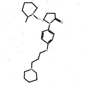 CC1CCCCN1C[C@@H]1CCC(=O)N1c1ccc(OCCCN2CCCCC2)cc1